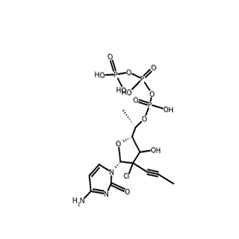 CC#CC1(Cl)C(O)[C@@H]([C@H](C)OP(=O)(O)OP(=O)(O)OP(=O)(O)O)O[C@H]1n1ccc(N)nc1=O